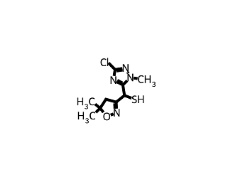 Cn1nc(Cl)nc1C(S)C1=NOC(C)(C)C1